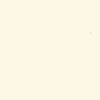 CC(C)/C=N/NC(=O)c1cccc(-c2cccc(N/N=C/C(C)C)c2)c1